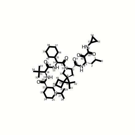 CCC[C@H](NC(=O)[C@@H]1C[C@@]2(CN1C(=O)[C@@H](NC(=O)[C@@H](NC(=O)[C@@H]1CCCN(C(C)C)C1)C(C)(C)C)C1CCCCC1)C(C)(C)C21CCC1)C(=O)C(=O)NC1CC1